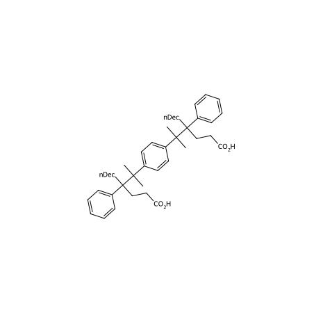 CCCCCCCCCCC(CCC(=O)O)(c1ccccc1)C(C)(C)c1ccc(C(C)(C)C(CCCCCCCCCC)(CCC(=O)O)c2ccccc2)cc1